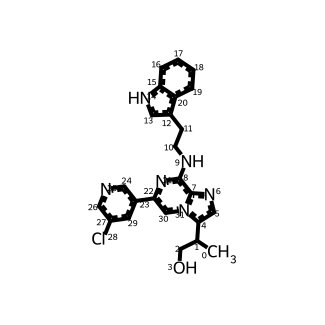 CC(CO)c1cnc2c(NCCc3c[nH]c4ccccc34)nc(-c3cncc(Cl)c3)cn12